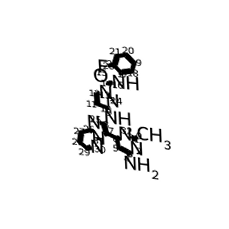 Cc1nc(N)cc(-c2c(Nc3ccn(C(=O)Nc4ccccc4F)n3)nc3cccnn23)n1